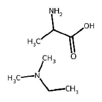 CC(N)C(=O)O.CCN(C)C